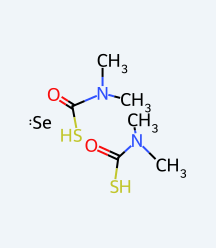 CN(C)C(=O)S.CN(C)C(=O)S.[Se]